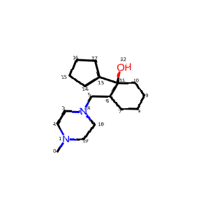 CN1CCN(CC2CCCCC2(O)C2CCCC2)CC1